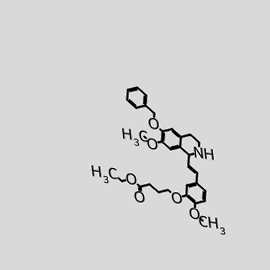 CCOC(=O)CCCOc1cc(C=CC2NCCc3cc(OCc4ccccc4)c(OC)cc32)ccc1OC